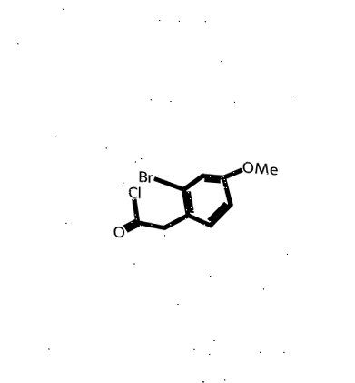 COc1ccc(CC(=O)Cl)c(Br)c1